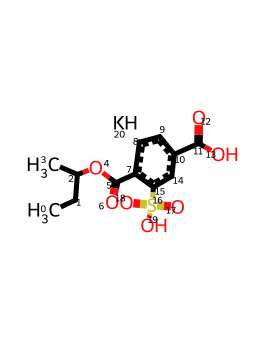 CCC(C)OC(=O)c1ccc(C(=O)O)cc1S(=O)(=O)O.[KH]